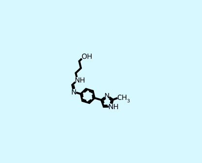 Cc1nc(-c2ccc(/N=C\NCCCO)cc2)c[nH]1